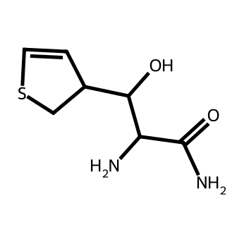 NC(=O)C(N)C(O)C1C=CSC1